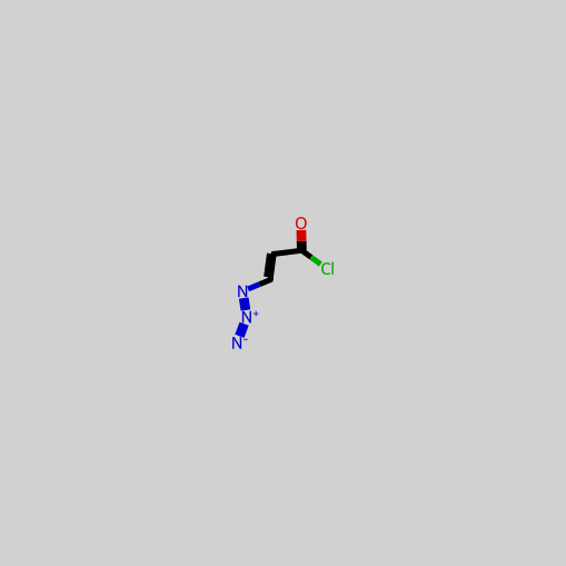 [N-]=[N+]=NC=CC(=O)Cl